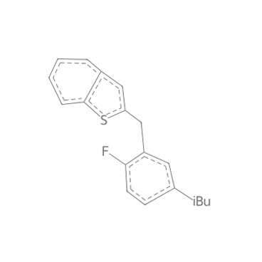 CCC(C)c1ccc(F)c(Cc2cc3ccccc3s2)c1